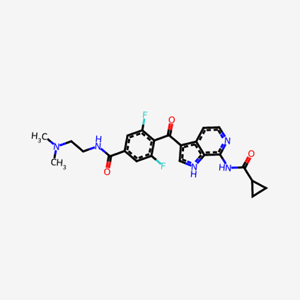 CN(C)CCNC(=O)c1cc(F)c(C(=O)c2c[nH]c3c(NC(=O)C4CC4)nccc23)c(F)c1